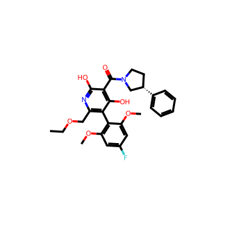 CCOCc1nc(O)c(C(=O)N2CC[C@H](c3ccccc3)C2)c(O)c1-c1c(OC)cc(F)cc1OC